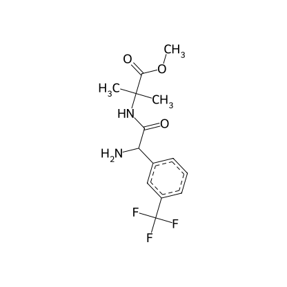 COC(=O)C(C)(C)NC(=O)C(N)c1cccc(C(F)(F)F)c1